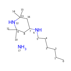 CCCCCCNC1CC(C)(C)NC(C)(C)C1.N